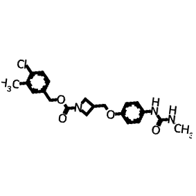 CNC(=O)Nc1ccc(OCC2CN(C(=O)OCc3ccc(Cl)c(C)c3)C2)cc1